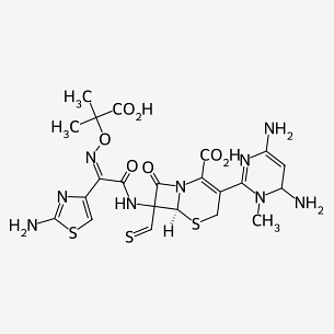 CN1C(C2=C(C(=O)O)N3C(=O)C(C=S)(NC(=O)/C(=N\OC(C)(C)C(=O)O)c4csc(N)n4)[C@@H]3SC2)=NC(N)=CC1N